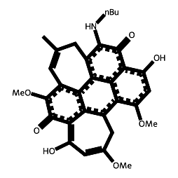 CCCCNc1c2c3c4c(c(OC)c(=O)c5c4c(c4c(OC)cc(O)c(c1=O)c43)CC(OC)=CC=5O)C=C(C)C2